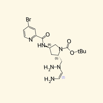 CC(C)(C)OC(=O)N1C[C@H](NC(=O)c2cc(Br)ccn2)C[C@H]1CN(N)/C=C\N